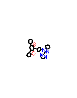 c1cnc(-c2nc3ccccc3n2-c2ccc(-c3c4oc5ccccc5c4cc4c3oc3ccccc34)cc2)nc1